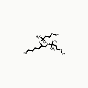 CCC(C)CCCCC(COC(C)(C)CCOC(C)C)OC(C)(C)CCOC(C)C